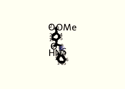 COC(=O)c1ccc(C(=O)/C=C2\Nc3ccccc3S2)cc1